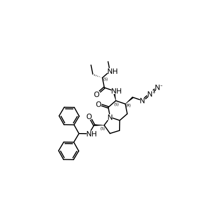 CC[C@H](NC)C(=O)N[C@@H]1C(=O)N2C(CC[C@H]2C(=O)NC(c2ccccc2)c2ccccc2)C[C@@H]1CN=[N+]=[N-]